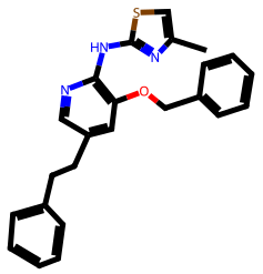 Cc1csc(Nc2ncc(CCc3ccccc3)cc2OCc2ccccc2)n1